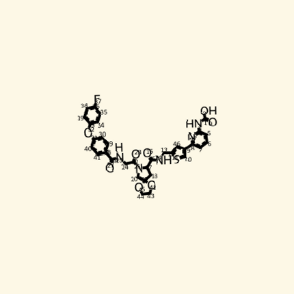 O=C(O)Nc1cccc(-c2csc(CNC(=O)C3CC4(CN3C(=O)CNC(=O)c3ccc(Oc5ccc(F)cc5)cc3)OCCO4)c2)n1